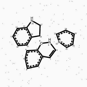 C1=Cc2ccccc2ON1.c1ccc2c(c1)CCN2.c1ccncc1